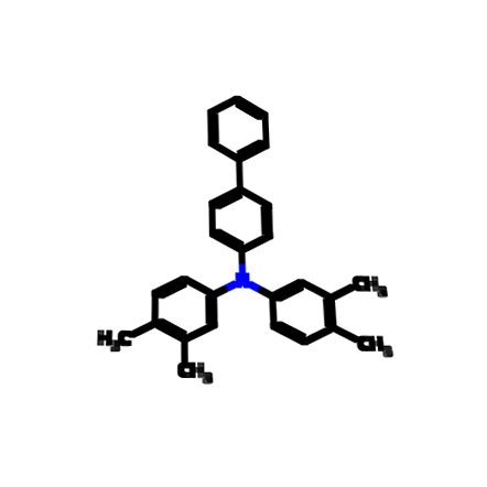 Cc1ccc(N(c2ccc(-c3ccccc3)cc2)c2ccc(C)c(C)c2)cc1C